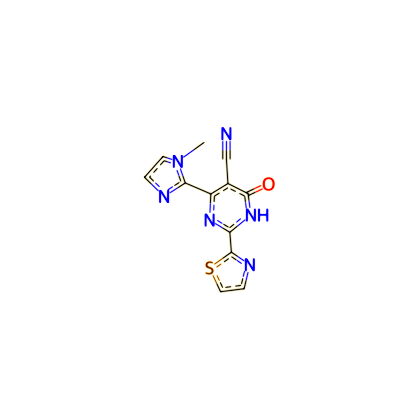 Cn1ccnc1-c1nc(-c2nccs2)[nH]c(=O)c1C#N